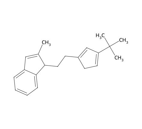 CC1=Cc2ccccc2C1CCC1=CC(C(C)(C)C)=CC1